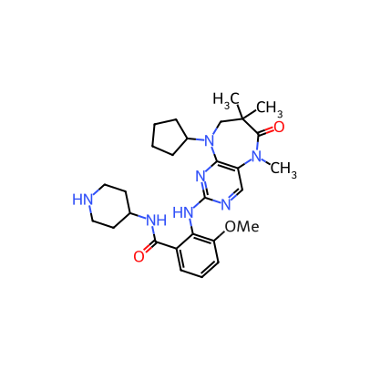 COc1cccc(C(=O)NC2CCNCC2)c1Nc1ncc2c(n1)N(C1CCCC1)CC(C)(C)C(=O)N2C